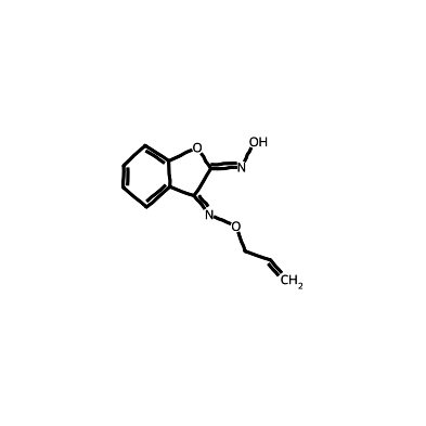 C=CCON=C1C(=NO)Oc2ccccc21